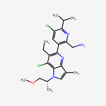 CCc1c(-c2cc(Cl)c(C(C)C)nc2CN)nc2c(C)cn([C@H](C)COC)c2c1Cl